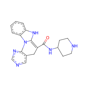 O=C(NC1CCNCC1)C1=C2Nc3ccccc3N2c2ncncc2C1